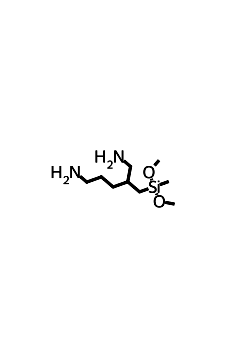 CO[Si](C)(CC(CN)CCCN)OC